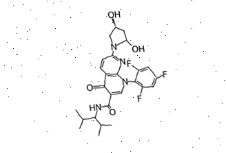 CC(C)C(NC(=O)c1cn(-c2c(F)cc(F)cc2F)c2nc(N3C[C@@H](O)CC3O)ccc2c1=O)C(C)C